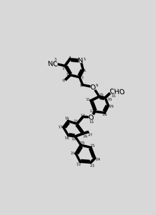 Cc1c(C#N)cncc1COc1cc(OCc2cccc(-c3ccccc3)c2C)ccc1C=O